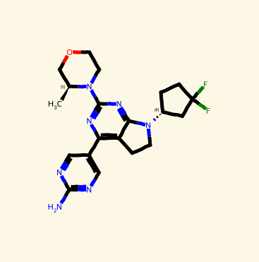 C[C@H]1COCCN1c1nc(-c2cnc(N)nc2)c2c(n1)N([C@@H]1CCC(F)(F)C1)CC2